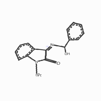 CCCN1C(=O)/C(=N\C(O)c2ccccc2)c2ccccc21